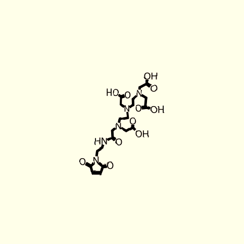 O=C(O)CN(CCN(CC(=O)O)CC(=O)O)CCN(CC(=O)O)CC(=O)NCCN1C(=O)C=CC1=O